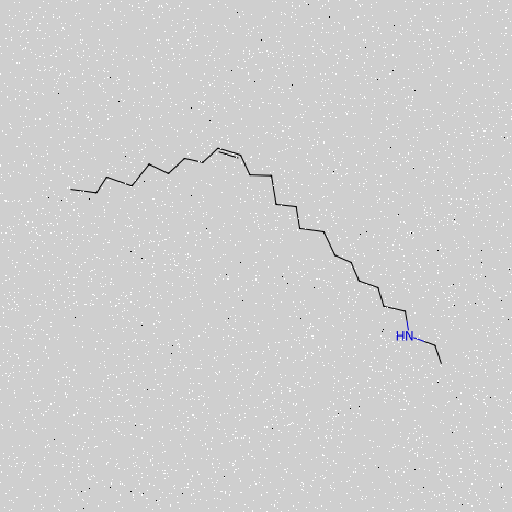 CCCCCCCC/C=C\CCCCCCCCCCCCNCC